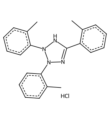 Cc1ccccc1C1=NN(c2ccccc2C)N(c2ccccc2C)N1.Cl